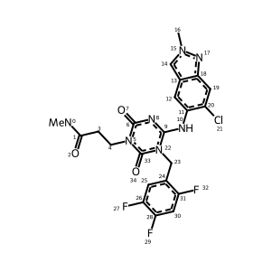 CNC(=O)CCn1c(=O)nc(Nc2cc3cn(C)nc3cc2Cl)n(Cc2cc(F)c(F)cc2F)c1=O